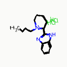 CCCCN1CCCCC1c1nc2ccccc2[nH]1.Cl.Cl